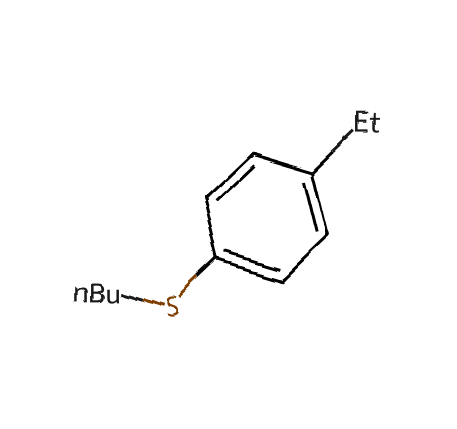 C[CH]CCSc1ccc(CC)cc1